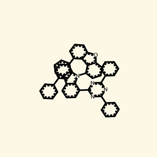 c1ccc(-c2ccc(-c3cccc4oc5cccc(-n6c7ccccc7c7cccc(-c8nc(-c9ccccc9)nc(-c9ccccc9)n8)c76)c5c34)cc2)cc1